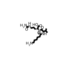 CC(C)[C@H](NC(=O)CCCCCN)C(=O)N[C@@H](CCCNC(N)=O)C(=O)O